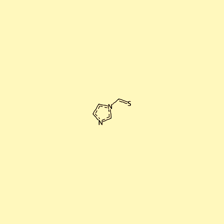 S=Cn1ccnc1